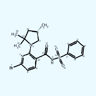 C[C@@H]1CN(c2nc(Br)ccc2C(=O)NS(=O)(=O)c2ccccc2)C(C)(C)C1